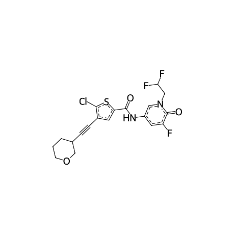 O=C(Nc1cc(F)c(=O)n(CC(F)F)c1)c1cc(C#CC2CCCOC2)c(Cl)s1